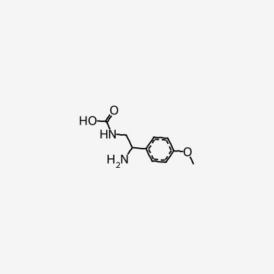 COc1ccc(C(N)CNC(=O)O)cc1